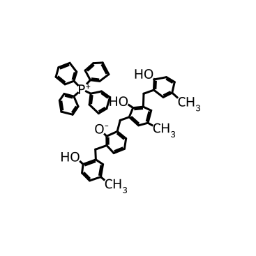 Cc1ccc(O)c(Cc2cccc(Cc3cc(C)cc(Cc4cc(C)ccc4O)c3O)c2[O-])c1.c1ccc([P+](c2ccccc2)(c2ccccc2)c2ccccc2)cc1